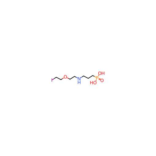 O=P(O)(O)CCCNCCOCCI